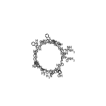 CCCC[C@H]1C(=O)N(C)[C@@H](CCCC)C(=O)N[C@@H](CCCNC(=N)N)C(=O)NC(C(=O)NCC(N)=O)CSCC(=O)N[C@@H](Cc2ccc(O)cc2)C(=O)N(C)[C@@H](C)C(=O)N[C@@H](CC(N)=O)C(=O)N2CC(F)(F)C[C@H]2C(=O)N[C@@H](Cc2cnc[nH]2)C(=O)N[C@@H](CC(C)C)C(=O)N2CCC[C@H]2C(=O)N[C@@H](Cc2c[nH]c3ccccc23)C(=O)N[C@@H](CO)C(=O)N[C@@H](Cc2csc3ccccc23)C(=O)N1C